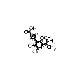 COc1c(C(C)N)cc(Cl)c(Cl)c1C1CN(C(=O)O)C1